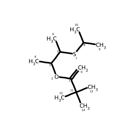 C=C(OC(C)C(C)SC(C)C)C(C)(C)C